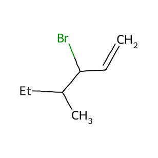 C=CC(Br)C(C)CC